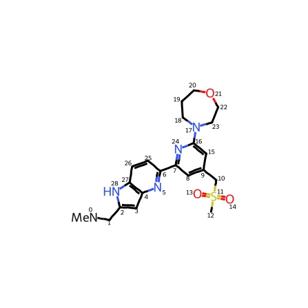 CNCc1cc2nc(-c3cc(CS(C)(=O)=O)cc(N4CCCOCC4)n3)ccc2[nH]1